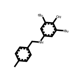 Cc1ccc(CNc2cc(C(C)(C)C)c(O)c(C(C)(C)C)c2)cc1